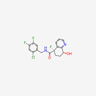 O=C(NCc1cc(F)c(F)cc1Cl)[C@]1(F)CC[C@H](O)c2ncccc21